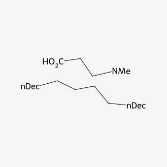 CCCCCCCCCCCCCCCCCCCCCCCC.CNCCC(=O)O